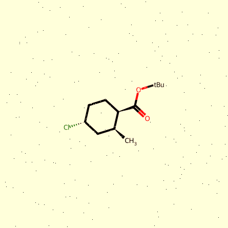 C[C@H]1C[C@H](Cl)CC[C@H]1C(=O)OC(C)(C)C